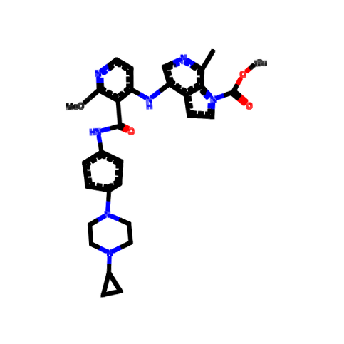 COc1nccc(Nc2cnc(C)c3c2ccn3C(=O)OC(C)(C)C)c1C(=O)Nc1ccc(N2CCN(C3CC3)CC2)cc1